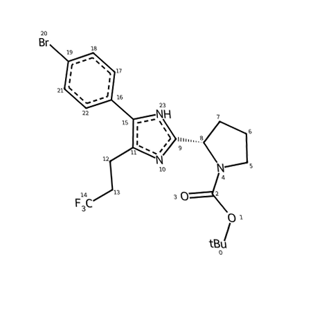 CC(C)(C)OC(=O)N1CCC[C@H]1c1nc(CCC(F)(F)F)c(-c2ccc(Br)cc2)[nH]1